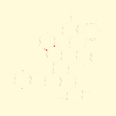 Cc1cc2c3c(c1)N(c1ccc(C(C)(C)C)cc1-c1ccccc1)c1c(ccc4sc5cc(C(C)(C)C)ccc5c14)B3c1cc3c(cc1N2c1ccc2c(c1)C(C)(C)CCC2(C)C)C(C)(C)CCC3(C)C